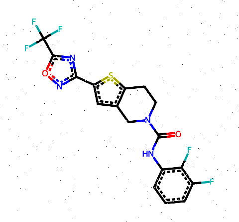 O=C(Nc1cccc(F)c1F)N1CCc2sc(-c3noc(C(F)(F)F)n3)cc2C1